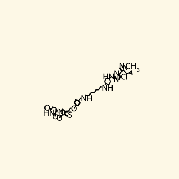 Cn1ncc(-c2nc(NC3CCC(NCCCCCCCNCc4ccc(OCc5scc6c5CN([C@H]5CCC(=O)NC5=O)C6=O)cc4)CC3)ncc2Cl)c1CC1CC1